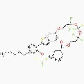 CCCCCc1ccc(-c2cc3ccc(OCCC(F)(F)OC(F)(F)OC(F)(F)CCOC(=O)C(CC)CC)cc3s2)c(OC(F)(F)F)c1